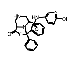 O=C(Nc1ccc(O)nc1)C1CNCC2C(=O)OC(c3ccccc3)(c3ccccc3)N12